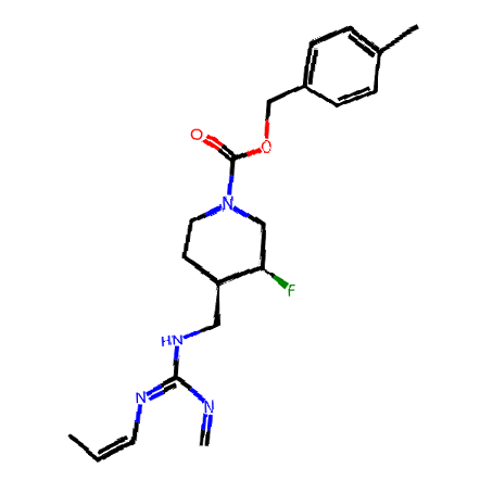 C=N/C(=N\C=C/C)NC[C@H]1CCN(C(=O)OCc2ccc(C)cc2)C[C@H]1F